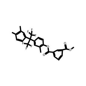 COC(=O)c1cccc(C(=O)Oc2ccc(C(c3ccc(C)c(C)c3)(C(F)(F)F)C(F)(F)F)cc2C)c1